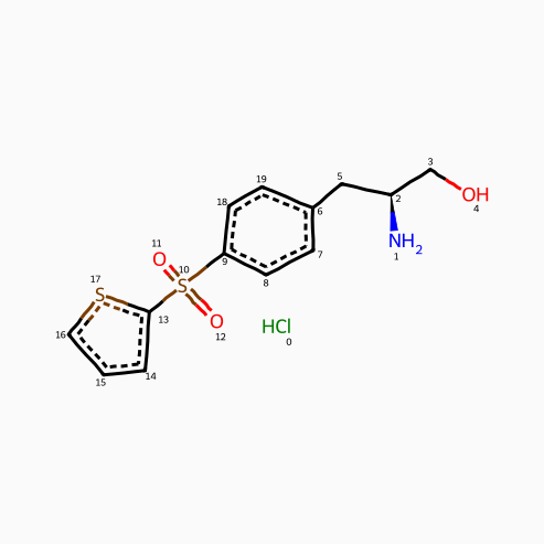 Cl.N[C@H](CO)Cc1ccc(S(=O)(=O)c2cccs2)cc1